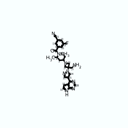 CCC(CC(C)NC(=O)c1cc(F)cc(C#N)c1)N1CC(CN)(n2cc(-c3ncnc4[nH]ccc34)cn2)C1